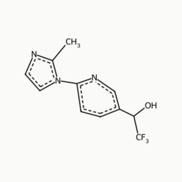 Cc1nccn1-c1ccc(C(O)C(F)(F)F)cn1